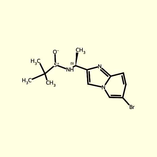 C[C@H](N[S+]([O-])C(C)(C)C)c1cn2cc(Br)ccc2n1